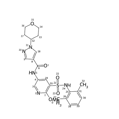 COc1ncc(NC(=O)c2cnn(C3CCOCC3)c2)cc1S(=O)(=O)Nc1c(C)cccc1C